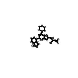 O=C(Nc1cc2nc(-c3cccc4[nH]ncc34)nc(N3CCOCC3)c2s1)C1CC1